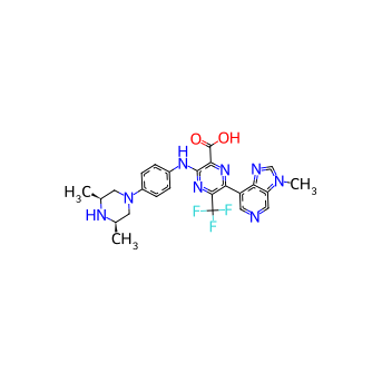 C[C@@H]1CN(c2ccc(Nc3nc(C(F)(F)F)c(-c4cncc5c4ncn5C)nc3C(=O)O)cc2)C[C@H](C)N1